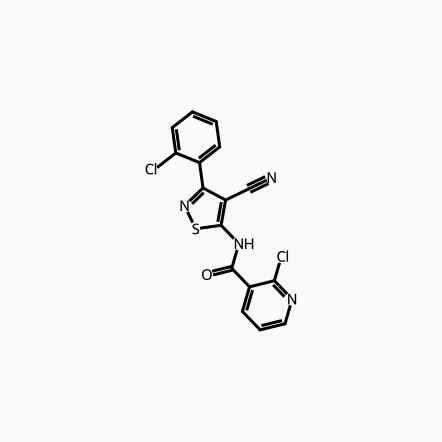 N#Cc1c(-c2ccccc2Cl)nsc1NC(=O)c1cccnc1Cl